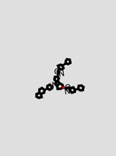 c1ccc(-c2ccc3oc(-c4ccc5c(c4)c4cc(-c6nc7ccc(-c8ccccc8)cc7o6)ccc4n5-c4ccc(-c5ccc6ccccc6c5)cc4)nc3c2)cc1